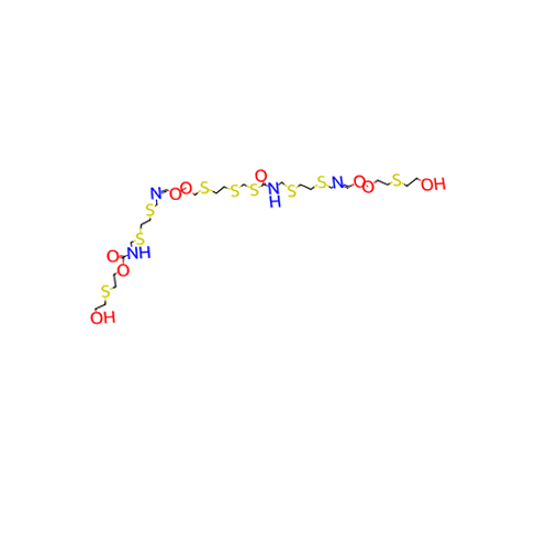 O=C(NCSCCSC/N=C\OOCSCCSCSC(=O)NCSCCSC/N=C/OOCCSCCO)OCCSCCO